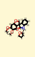 O=C1N(C[C@H]2CCCO2)c2ccccc2C12COc1cc3c(cc12)OCCCO3